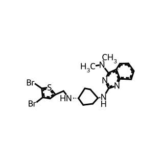 CN(C)c1nc(N[C@H]2CC[C@@H](NCc3cc(Br)c(Br)s3)CC2)nc2ccccc12